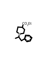 [CH2]C(Cc1ccccc1)N1CCC(C(=O)OCC)CC1